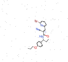 CCCOc1ccc(C(CC)NC(=O)/C(C#N)=C/c2cccc(Br)n2)cc1